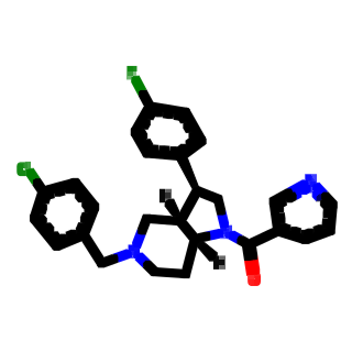 O=C(c1cccnc1)N1C[C@H](c2ccc(F)cc2)[C@H]2CN(Cc3ccc(Cl)cc3)CC[C@H]21